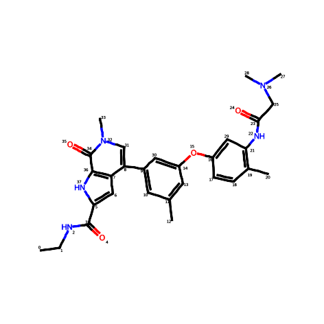 CCNC(=O)c1cc2c(-c3cc(C)cc(Oc4ccc(C)c(NC(=O)CN(C)C)c4)c3)cn(C)c(=O)c2[nH]1